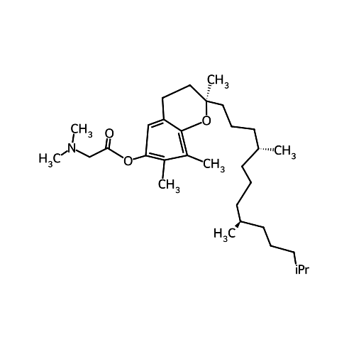 Cc1c(OC(=O)CN(C)C)cc2c(c1C)O[C@](C)(CCC[C@H](C)CCC[C@H](C)CCCC(C)C)CC2